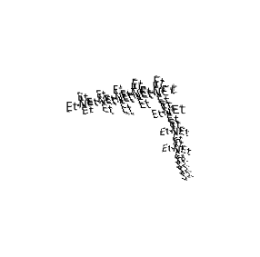 CC[N+](CC)(CC)CC.CC[N+](CC)(CC)CC.CC[N+](CC)(CC)CC.CC[N+](CC)(CC)CC.CC[N+](CC)(CC)CC.CC[N+](CC)(CC)CC.CC[N+](CC)(CC)CC.CC[N+](CC)(CC)CC.[S-2].[S-2].[S-2].[S-2]